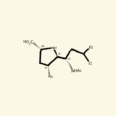 CCC(CC)C[C@H](NC(C)=O)[C@@H]1N[C@@H](C(=O)O)C[C@H]1C(C)=O